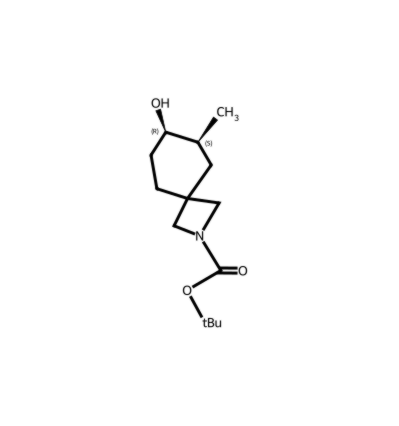 C[C@H]1CC2(CC[C@H]1O)CN(C(=O)OC(C)(C)C)C2